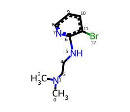 CN(C)CCNc1ncccc1Br